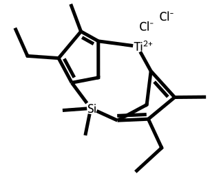 CCC1=C2C[C](=C1C)[Ti+2][C]1=C(C)C(CC)=C(C1)[Si]2(C)C.[Cl-].[Cl-]